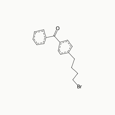 O=C(c1ccccc1)c1ccc(CCCCBr)cc1